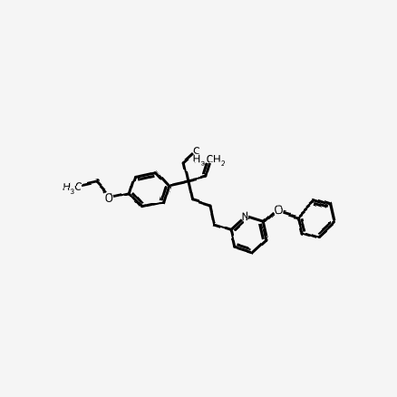 C=CC(CC)(CCCc1cccc(Oc2ccccc2)n1)c1ccc(OCC)cc1